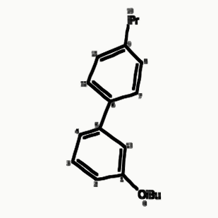 CC(C)COc1cccc(-c2ccc(C(C)C)cc2)c1